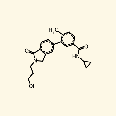 Cc1ccc(C(=O)NC2CC2)cc1-c1ccc2c(c1)CN(CCCO)C2=O